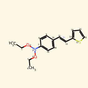 CCON(OCC)c1ccc(/C=C/c2cccs2)cc1